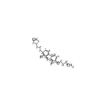 CCCCCCc1ccc2c(sc3c(F)c(OCCCC)ccc32)c1F